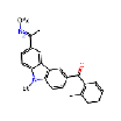 CCn1c2ccc(C(=O)C3=C(C)CCC=C3)cc2c2cc(/C(C)=N/OC(C)=O)ccc21